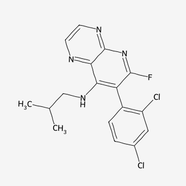 CC(C)CNc1c(-c2ccc(Cl)cc2Cl)c(F)nc2nccnc12